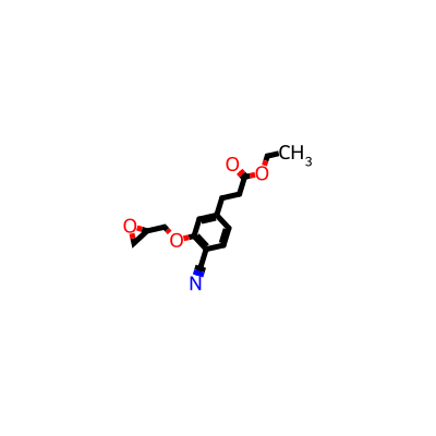 CCOC(=O)CCc1ccc(C#N)c(OCC2CO2)c1